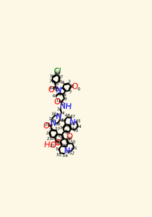 COc1ccc2c(c1)c(CC(=O)NCCN1CCN(C(=O)c3ccc(C(=O)O)c(C4=c5cc6c7c(c5Oc5c4cc4c8c5CCCN8CCC4)CCC[N+]=7CCC6)c3)CC1)c(C)n2C(=O)c1ccc(Cl)cc1